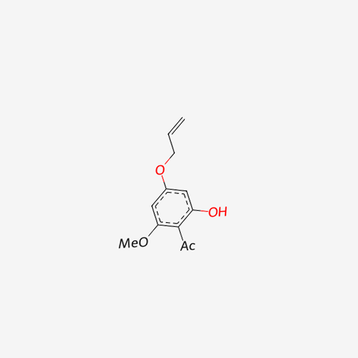 C=CCOc1cc(O)c(C(C)=O)c(OC)c1